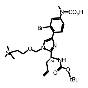 C=CC[C@H](NC(=O)OC(C)(C)C)c1nc(-c2ccc(N(C)C(=O)O)cc2Br)cn1COCC[Si](C)(C)C